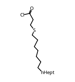 CCCCCCCCCCCCCCSCCC(=O)Cl